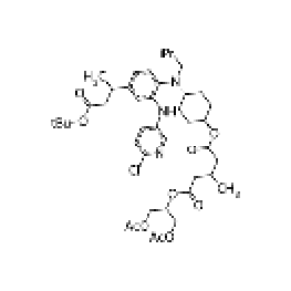 CC(=O)OCC(COC(C)=O)OC(=O)CC(C)CC(=O)O[C@H]1CC[C@H](N(CC(C)C)c2ccc([C@H](C)CC(=O)OC(C)(C)C)cc2Nc2ccc(Cl)nc2)CC1